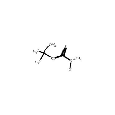 C[S@@+]([O-])C(=O)OC(C)(C)C